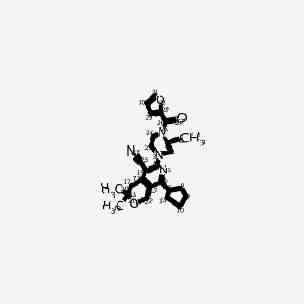 CC1CN(c2nc(C3CCCC3)c3c(c2C#N)CC(C)(C)OC3)CCN1C(=O)c1ccco1